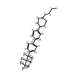 CCCCC1CCC(c2ccc(-c3ccc(C(F)(F)C(F)(F)C(F)(F)F)cc3)cc2)CC1